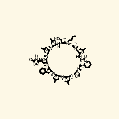 CCCCN1CC(=O)N(C)[C@@H](CC(C)C)C(=O)N[C@H](C(=O)N2CCCCC2)CC(=O)N(C)[C@@H](CC)C(=O)N[C@@H](CC(C)C)C(=O)N(C)[C@@H](CC(C)C)C(=O)N(C)[C@@H](Cc2ccccc2)C(=O)NC(CCc2noc(=O)[nH]2)C(O)N(C)[C@@H](CC(C)C)C(=O)N(C)[C@@H](CC(C)C)C(=O)N[C@@H]([C@@H](C)O)C1=O